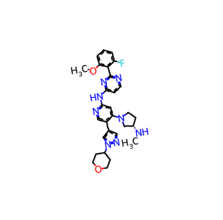 CN[C@H]1CCN(c2cc(Nc3ccnc(-c4c(F)cccc4OC)n3)ncc2-c2cnn(C3CCOCC3)c2)C1